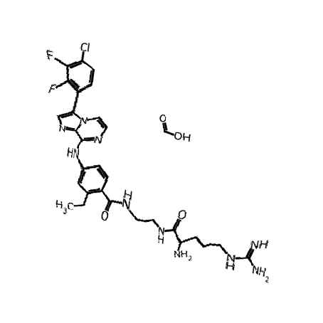 CCc1cc(Nc2nccn3c(-c4ccc(Cl)c(F)c4F)cnc23)ccc1C(=O)NCCNC(=O)C(N)CCCNC(=N)N.O=CO